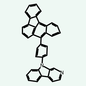 c1ccc2c(c1)-c1cccc3c(-c4ccc(-n5c6ccccc6c6ccncc65)cc4)c4ccccc4c-2c13